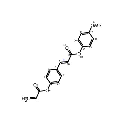 C=CC(=O)Oc1ccc(/C=C/C(=O)Oc2ccc(OC)cc2)cc1